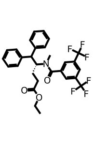 CCOC(=O)CC[C@H](C(c1ccccc1)c1ccccc1)N(C)C(=O)c1cc(C(F)(F)F)cc(C(F)(F)F)c1